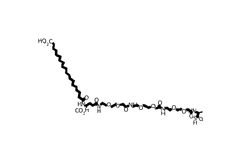 C[C@H](NC(=O)COCCOCCNC(=O)COCCOCCNC(=O)COCCOCCNC(=O)CC[C@H](NC(=O)CCCCCCCCCCCCCCCCCCC(=O)O)C(=O)O)C(=O)S